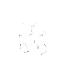 C=C(C(=O)O)C(C#N)C(c1ccccc1)c1ccccc1